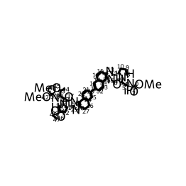 COC(=O)N[C@H](C(=O)N1CCC[C@H]1c1nc2ccc3cc(-c4ccc5c(c4)CCc4nc([C@@H]6CC7(CN6C(=O)[C@@H](NC(=O)OC)[C@@H](C)OC)OCCO7)[nH]c4-5)ccc3c2[nH]1)C(C)C